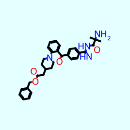 CC(C)(N)C(=O)NC(=N)c1ccc(C(=O)c2ccccc2N2CCC(CC(=O)OCc3ccccc3)CC2)cc1